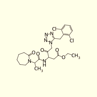 CCOC(=O)CC(NC(=O)C(C)N1CCCCCC1=O)C(=O)Cn1nnnc1Cc1c(Cl)cccc1Cl